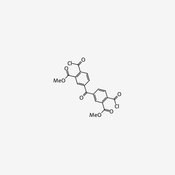 COC(=O)c1cc(C(=O)c2ccc(C(=O)Cl)c(C(=O)OC)c2)ccc1C(=O)Cl